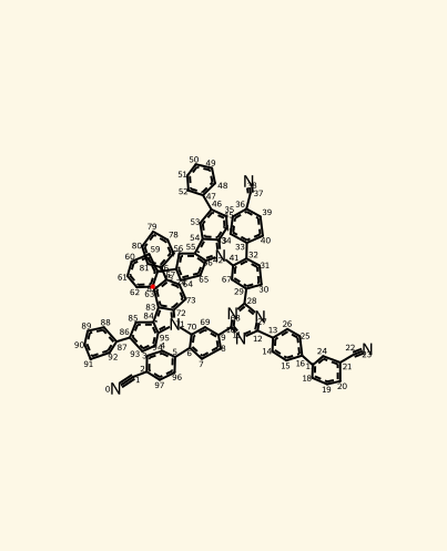 N#Cc1ccc(-c2ccc(-c3nc(-c4ccc(-c5cccc(C#N)c5)cc4)nc(-c4ccc(-c5ccc(C#N)cc5)c(-n5c6ccc(-c7ccccc7)cc6c6cc(-c7ccccc7)ccc65)c4)n3)cc2-n2c3ccc(-c4ccccc4)cc3c3cc(-c4ccccc4)ccc32)cc1